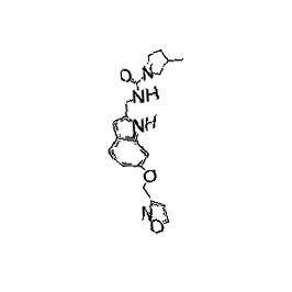 CC1CCN(C(=O)NCc2cc3ccc(OCc4ccon4)cc3[nH]2)C1